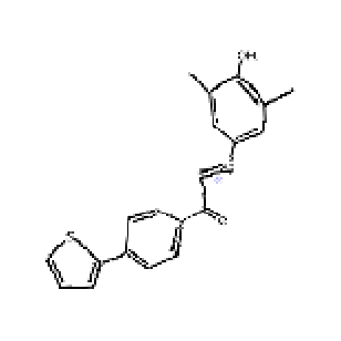 Cc1cc(/C=C/C(=O)c2ccc(-c3cccs3)cc2)cc(C)c1O